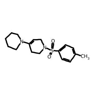 Cc1ccc(S(=O)(=O)N2CC=C(N3CCCCC3)CC2)cc1